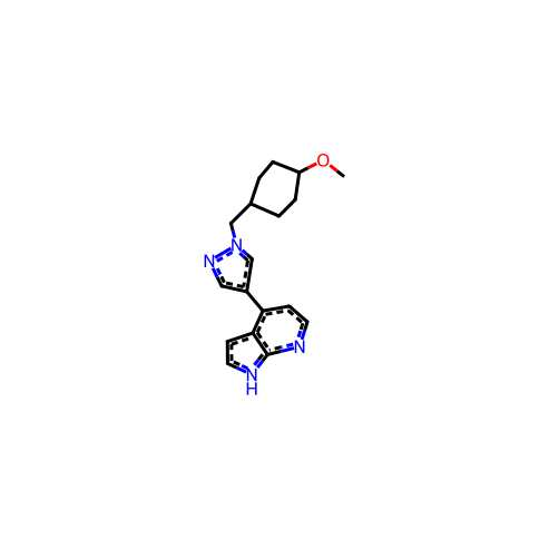 COC1CCC(Cn2cc(-c3ccnc4[nH]ccc34)cn2)CC1